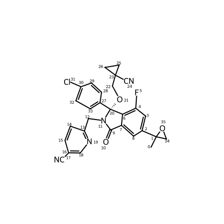 CC1(c2cc(F)c3c(c2)C(=O)N(Cc2ccc(C#N)cn2)[C@@]3(OCC2(C#N)CC2)c2ccc(Cl)cc2)CO1